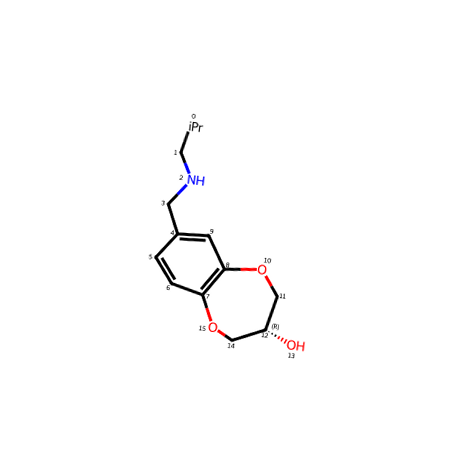 CC(C)CNCc1ccc2c(c1)OC[C@H](O)CO2